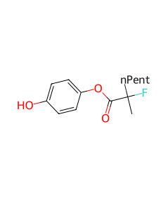 CCCCCC(C)(F)C(=O)Oc1ccc(O)cc1